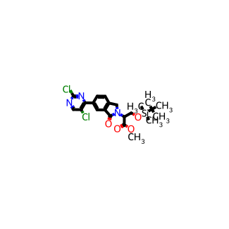 COC(=O)C(CO[Si](C)(C)C(C)(C)C)N1Cc2ccc(-c3nc(Cl)ncc3Cl)cc2C1=O